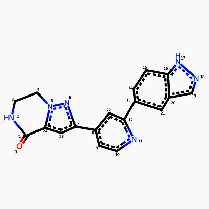 O=C1NCCn2nc(-c3ccnc(-c4ccc5[nH]ncc5c4)c3)cc21